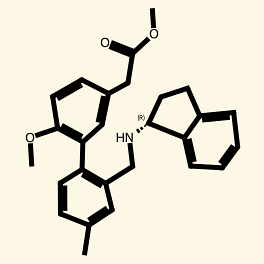 COC(=O)Cc1ccc(OC)c(-c2ccc(C)cc2CN[C@@H]2CCc3ccccc32)c1